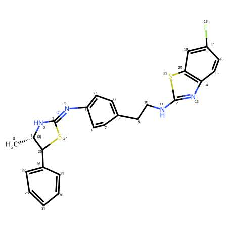 C[C@@H]1N/C(=N/c2ccc(CCNc3nc4ccc(F)cc4s3)cc2)SC1c1ccccc1